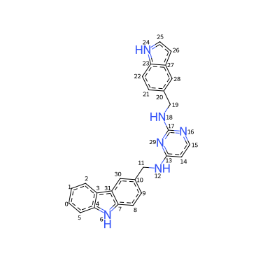 c1ccc2c(c1)[nH]c1ccc(CNc3ccnc(NCc4ccc5[nH]ccc5c4)n3)cc12